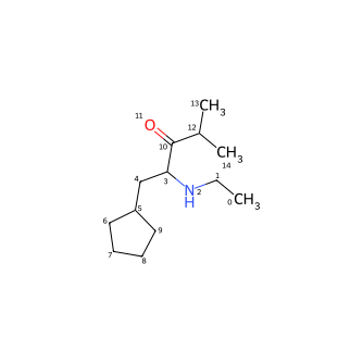 CCNC(CC1CCCC1)C(=O)C(C)C